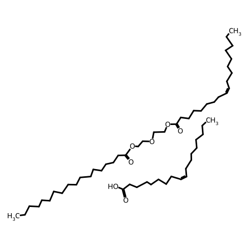 CCCCCCCC/C=C\CCCCCCCC(=O)O.CCCCCCCC/C=C\CCCCCCCC(=O)OCCOCCOC(=O)CCCCCCCCCCCCCCCCC